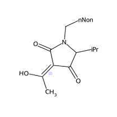 CCCCCCCCCCN1C(=O)/C(=C(/C)O)C(=O)C1C(C)C